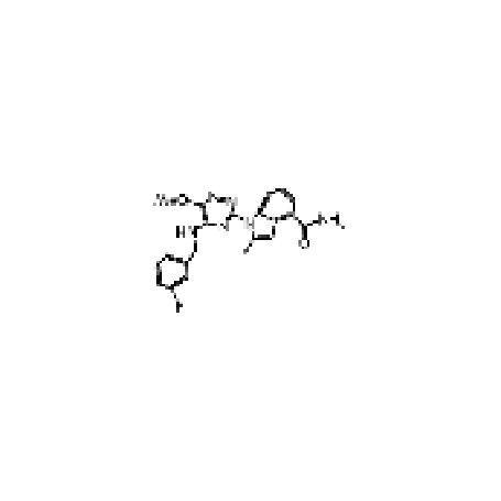 COc1nnc(-n2c(C)cc3c(C(N)=O)cccc32)nc1NCc1cccc(F)c1